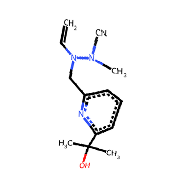 C=CN(Cc1cccc(C(C)(C)O)n1)N(C)C#N